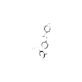 CN1CCC(N(C)SC2CCN(c3c(N)cncc3F)CC2)CC1